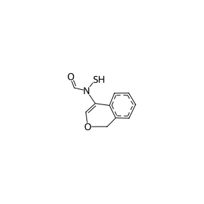 O=CN(S)C1=COCc2ccccc21